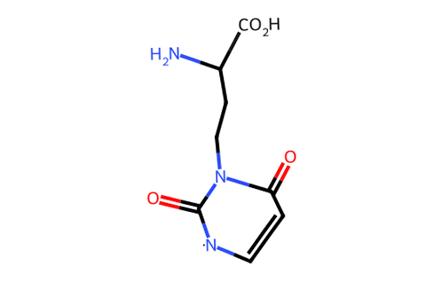 NC(CCN1C(=O)C=C[N]C1=O)C(=O)O